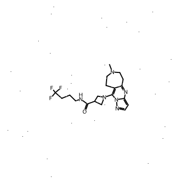 CN1CCc2nc3ccnn3c(N3CC(C(=O)NCCCC(F)(F)F)C3)c2CC1